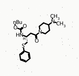 CCCCOC(=O)N[C@@H](CSc1ccccc1)CC(=O)N1CCC(N(C)C)CC1